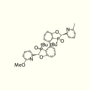 COc1cccc([C@@H]2Oc3cccc(-c4cccc5c4[P@](=O)(C(C)(C)C)[C@H](c4cccc(C)n4)O5)c3[P@]2(=O)C(C)(C)C)n1